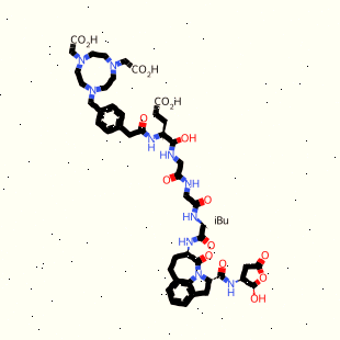 CC[C@H](C)[C@H](NC(=O)CNC(=O)CNC(O)[C@H](CCC(=O)O)NC(=O)Cc1ccc(CN2CCN(CC(=O)O)CCN(CC(=O)O)CC2)cc1)C(=O)N[C@H]1CCc2cccc3c2N(C1=O)[C@H](C(=O)N[C@@H]1CC(=O)O[C@@H]1O)C3